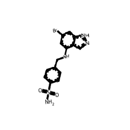 NS(=O)(=O)c1ccc(CNc2cc(Br)cc3[nH]ncc23)cc1